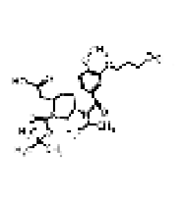 COCCCOc1cc(C(=O)N(C(C)C)[C@@H]2CC[C@H](CC(=O)O)N(C(=O)OC(C)(C)C)C2)ccc1OC